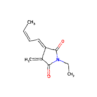 C=C1C(=O)N(CC)C(=O)/C1=C/C=C\C